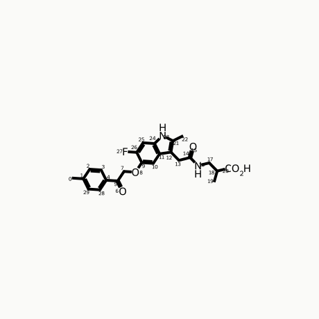 Cc1ccc(C(=O)COc2cc3c(CC(=O)NCC(C)C(=O)O)c(C)[nH]c3cc2F)cc1